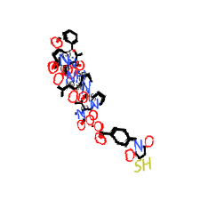 COC1=CC(=O)N(C(=O)[C@@H](OC(=O)[C@@H]2CCN(C(=O)[C@@H]3CCCN3C(=O)[C@H](C(C)C)N(C)C(=O)OCOC(=O)C3CCC(CN4C(=O)CC(S)C4=O)CC3)[C@H]2C(=O)[C@@H](NC(=O)[C@H](C(C)C)N(C)C)C(C)C)C(C)C)[C@H]1Cc1ccccc1